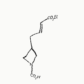 CCOC(=O)C=CCC1CN(C(=O)O)C1